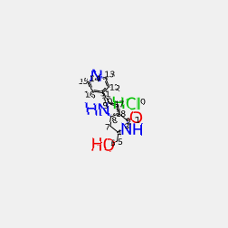 Cl.O=C1NC(CO)Cc2[nH]c(-c3ccncc3)cc21